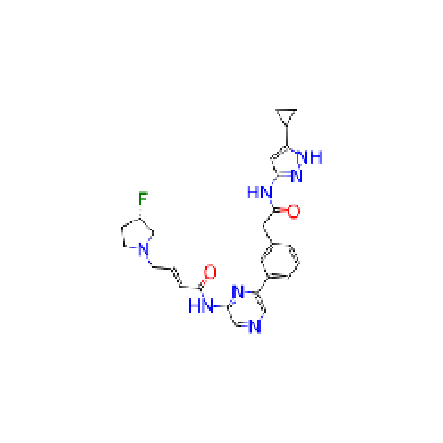 O=C(/C=C/CN1CC[C@H](F)C1)Nc1cncc(-c2cccc(CC(=O)Nc3cc(C4CC4)[nH]n3)c2)n1